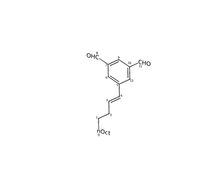 CCCCCCCCCCC=Cc1cc(C=O)[c]c(C=O)c1